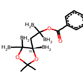 BC(B)(C[C@]1(B)OC(C)(C)OC1(B)B)OC(=O)c1ccccc1